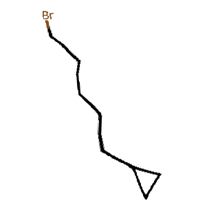 BrCCCCCC1CC1